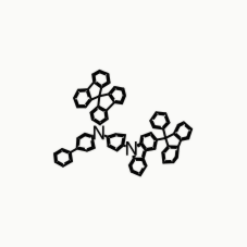 c1ccc(-c2ccc(N(c3ccc(-n4c5ccccc5c5cc(C6(c7ccccc7)c7ccccc7-c7ccccc76)ccc54)cc3)c3ccc4c(c3)-c3ccccc3C43c4ccccc4-c4ccccc43)cc2)cc1